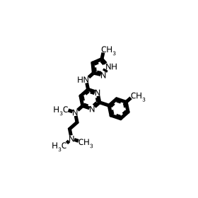 Cc1cccc(-c2nc(Nc3cc(C)[nH]n3)cc(N(C)CCN(C)C)n2)c1